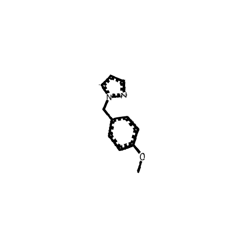 COc1ccc(Cn2[c]ccn2)cc1